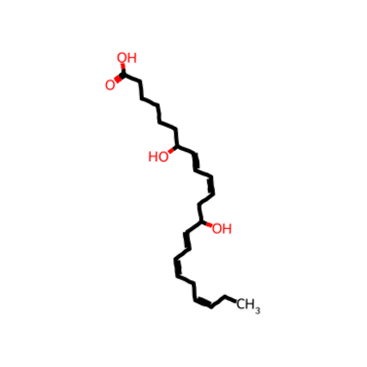 CC/C=C\C/C=C\C=C\C(O)C/C=C\C=C\C(O)CCCCCC(=O)O